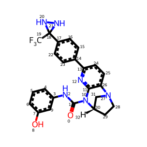 O=C(Nc1cccc(O)c1)N1c2nc(-c3ccc(C4(C(F)(F)F)NN4)cc3)ccc2N2CC[C@H]1C2